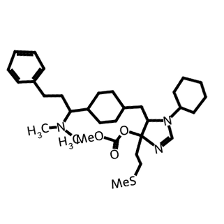 COC(=O)OC1(CCSC)N=CN(C2CCCCC2)C1CC1CCC(C(CCc2ccccc2)N(C)C)CC1